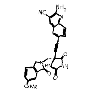 COc1ccc2c(c1)C(=O)N(C[C@@]1(C#Cc3ccc4nc(N)c(C#N)cc4c3)NC(=O)NC1=O)C2